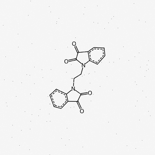 O=C1C(=O)N([CH]CN2C(=O)C(=O)c3ccccc32)c2ccccc21